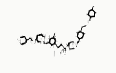 Cc1ccc(COCCc2ccc(CN3CCN(C(=O)C=Cc4cc(C)c(Oc5ccc(OCc6ccncc6)cn5)c(C)c4)CC3)cc2)cc1.Cl